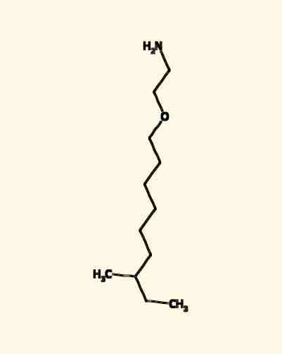 CCC(C)CCCCCCOCCN